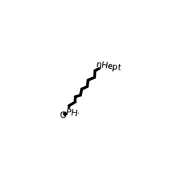 CCCCCCCCCCCCCCCCC[PH]=O